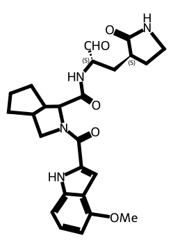 COc1cccc2[nH]c(C(=O)N3CC4CCCC4C3C(=O)N[C@H](C=O)C[C@@H]3CCNC3=O)cc12